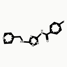 O=C(Nc1nnc(NCc2ccncc2)s1)c1ccc(I)cc1